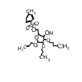 C=CCOC1OC(COS(=O)(=O)c2ccc(C)cc2)C(O)C(OCCCC)C1OCCCC